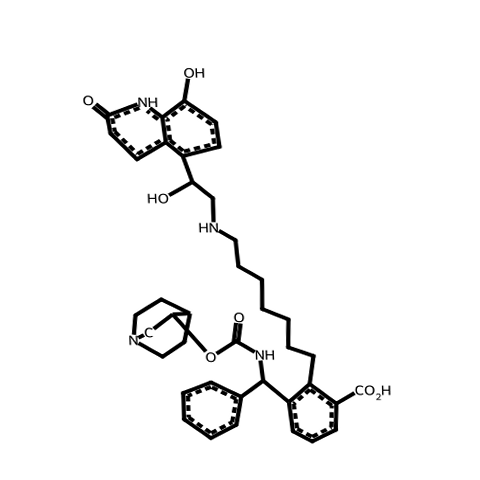 O=C(NC(c1ccccc1)c1cccc(C(=O)O)c1CCCCCCCNCC(O)c1ccc(O)c2[nH]c(=O)ccc12)OC1CN2CCC1CC2